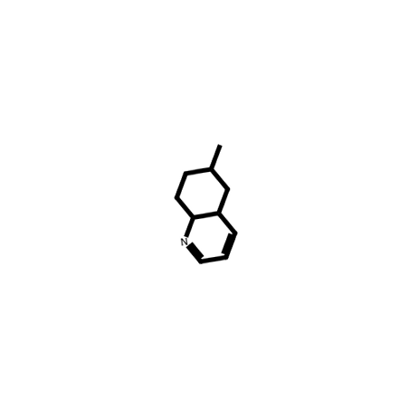 CC1CCC2N=CC=CC2C1